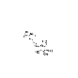 N[C@@H](CCCCNC1OC(CO)C(O)C(O)C1O)C(=O)O